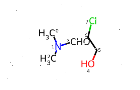 CN(C)C=O.OCCCl